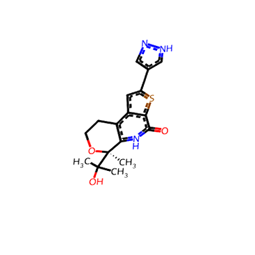 CC(C)(O)[C@@]1(C)OCCc2c1[nH]c(=O)c1sc(-c3cn[nH]c3)cc21